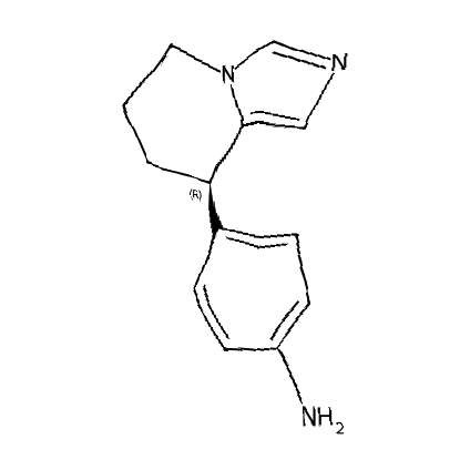 Nc1ccc([C@H]2CCCn3cncc32)cc1